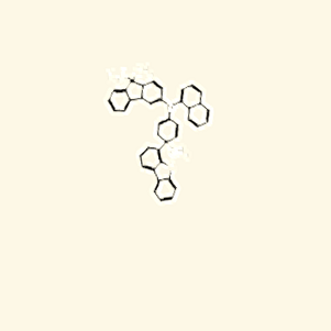 CC1(C)c2ccccc2C2C=C(N(C3=CC[C@](C)(c4cccc5c4oc4ccccc45)C=C3)C3=CC=CC4C=CC=CC34)C=CC21